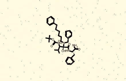 CC(C)C(NC(=O)OC(C)(C)C)[C@@](O)(C(=O)N[C@@H](Cc1ccccc1)C(N)=O)N(Cc1ccccc1)C(=O)CCCCCc1ccccc1